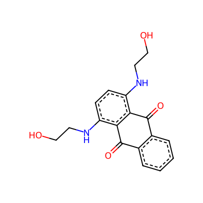 O=C1c2ccccc2C(=O)c2c(NCCO)ccc(NCCO)c21